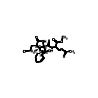 COC(=O)C(CNC(C)=O)SC(=O)[C@]1([C@@H](O)[C@@H]2C=CCCC2)NC(=O)[C@H](CCCl)[C@]1(C)O